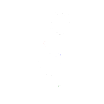 Fc1ccc(Oc2ccccc2)nc1